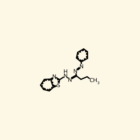 CCCC(N=Nc1ccccc1)=NNc1nc2ccccc2s1